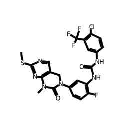 CSc1ncc2c(n1)N(C)C(=O)N(c1ccc(F)c(NC(=O)Nc3ccc(Cl)c(C(F)(F)F)c3)c1)C2